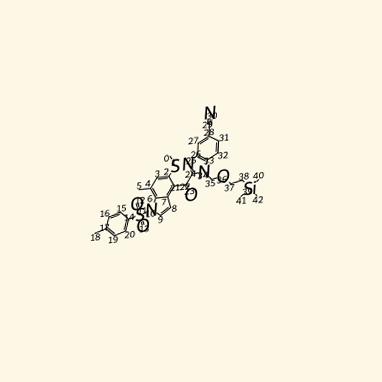 CSc1cc(C)c2c(ccn2S(=O)(=O)c2ccc(C)cc2)c1C(=O)c1nc2cc(C#N)ccc2n1COCC[Si](C)(C)C